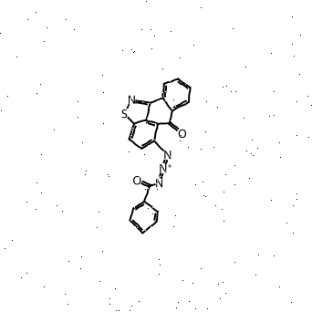 O=C(N=[N+]=Nc1ccc2snc3c2c1C(=O)c1ccccc1-3)c1ccccc1